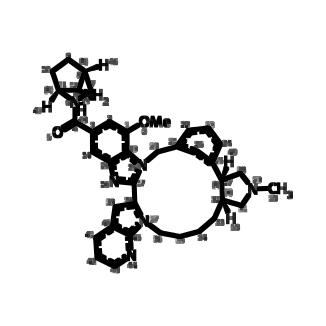 COc1cc(C(=O)N2C[C@H]3CC[C@@H]2[C@@H]3N)cc2nc3n(c12)Cc1cccc(c1)[C@@H]1CN(C)C[C@@H]1CCCCn1c-3cc2cccnc21